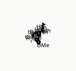 CCC[C@H](NC(=O)C1C[C@@H](Oc2nc(C)cc3cc(OC)ccc23)CN1C(=O)C(NC(=O)NC(C)(C)C)C(C)(C)C)C(O)C(=O)NC1CC1